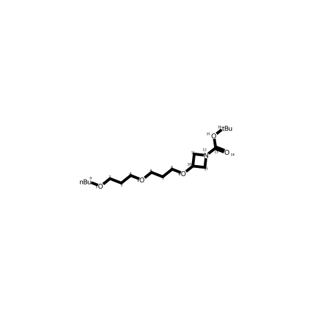 CCCCOCCCOCCCOC1CN(C(=O)OC(C)(C)C)C1